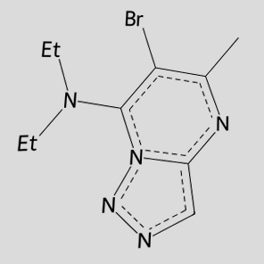 CCN(CC)c1c(Br)c(C)nc2cnnn12